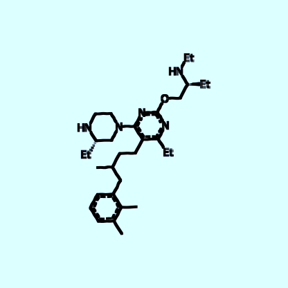 CCN[C@@H](CC)COc1nc(CC)c(CCC(C)Cc2cccc(C)c2C)c(N2CCN[C@@H](CC)C2)n1